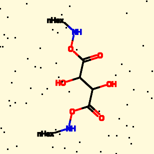 CCCCCCNOC(=O)C(O)C(O)C(=O)ONCCCCCC